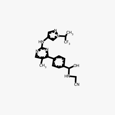 Cc1cnc(Nc2cnn(C(C)C(F)(F)F)c2)nc1-c1ccc(C(O)NCC#N)cc1